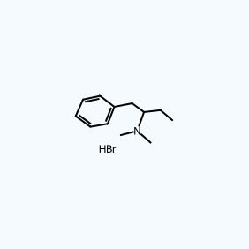 Br.CCC(Cc1ccccc1)N(C)C